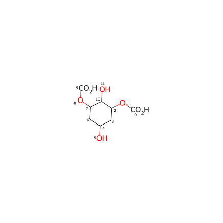 O=C(O)OC1CC(O)CC(OC(=O)O)C1O